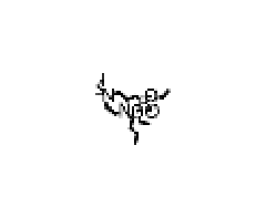 CCCCN1CCN(SI)CC1CP(=O)(OCC)OCC